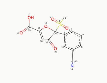 CS(=O)(=O)C1(c2cccc(C#N)c2)OC(C(=O)O)=CC1=O